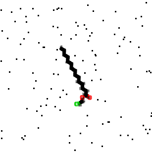 CCCCCCCCCCCCCCC(=O)OCCl